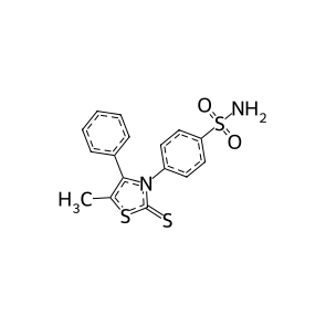 Cc1sc(=S)n(-c2ccc(S(N)(=O)=O)cc2)c1-c1ccccc1